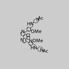 COc1cc(-c2nccc(-c3nccc(-c4ccc(CNC5CCN(C(C)=O)CC5)c(OC)n4)c3Cl)c2Cl)ccc1CNC1CCN(C(C)=O)CC1